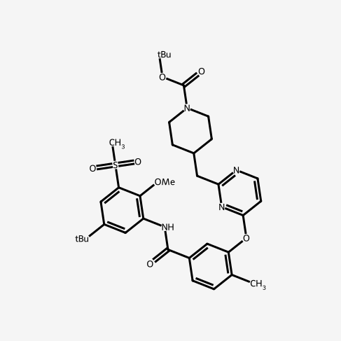 COc1c(NC(=O)c2ccc(C)c(Oc3ccnc(CC4CCN(C(=O)OC(C)(C)C)CC4)n3)c2)cc(C(C)(C)C)cc1S(C)(=O)=O